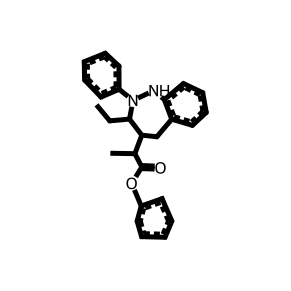 CCC1C(C(C)C(=O)Oc2ccccc2)Cc2ccccc2NN1c1ccccc1